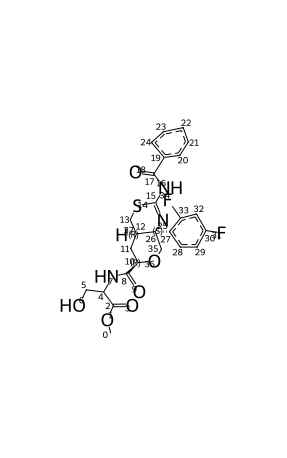 COC(=O)C(CO)NC(=O)[C@H]1C[C@H]2CSC(NC(=O)c3ccccc3)=N[C@@]2(c2ccc(F)cc2F)CO1